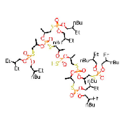 CCCCC(CC)COP(=O)(OCC(CC)CC)SCC(C)OP(=O)(OC(C)CSP(=O)(OCC(CC)CCCC)OCC(CC)CCCC)SCC(C)OP(=O)(S)OC(C)CSP(=O)(OC(C)CSP(=O)(OCC(CC)CCCC)OCC(CC)CCCC)OC(C)CSP(=O)(OCC(CC)CCCC)OCC(CC)CCCC